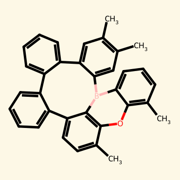 Cc1cc2c(cc1C)-c1ccccc1-c1ccccc1-c1ccc(C)c3c1B2c1cccc(C)c1O3